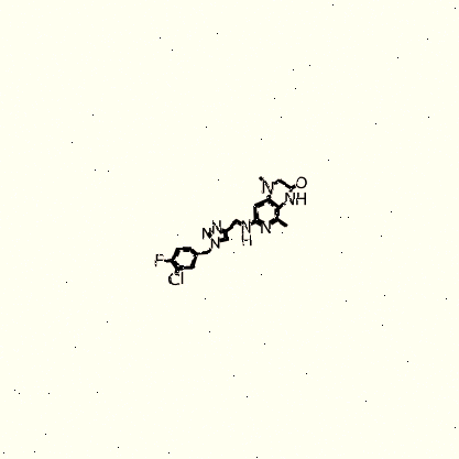 Cc1nc(NCc2cn(Cc3ccc(F)c(Cl)c3)nn2)cc2c1NC(=O)CN2C